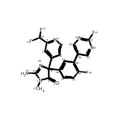 CN1C(=O)C(c2ccnc(C(F)F)c2)(c2ccc(F)c(-c3cnc(F)nc3)c2)N=C1N